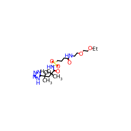 CCOCCOCCNC(=O)CCCS(=O)(=O)NC(=O)C(C)(C)CC(C)(C)c1nnn[nH]1